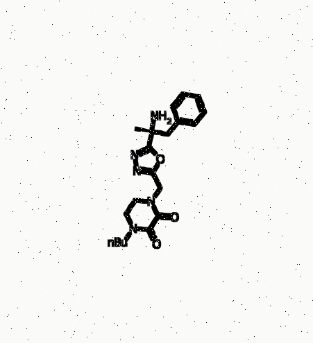 CCCCN1CCN(Cc2nnc([C@](C)(N)Cc3ccccc3)o2)C(=O)C1=O